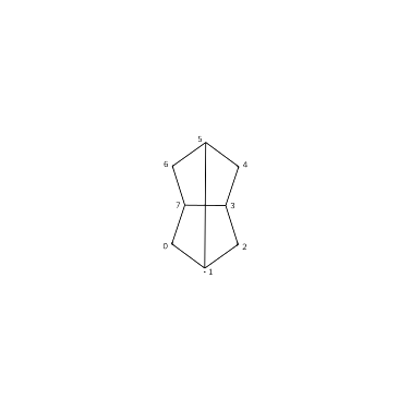 C1[C]2CC3CC2CC13